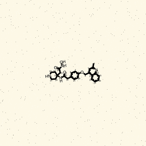 Cc1cc(COc2ccc(CC(=O)NC3(CC(=O)NO)CCNCC3)cc2)c2ccccc2n1